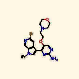 CC(C)n1cc(-c2nc(N)ncc2OCCN2CCOCC2)c2cc(Br)ncc21